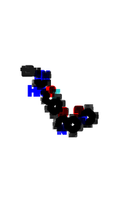 CC(C)(C)n1cc(NC(=O)Cc2ccc(Oc3ccnc4ccc(-n5ccccc5=O)cc34)cc2F)cn1